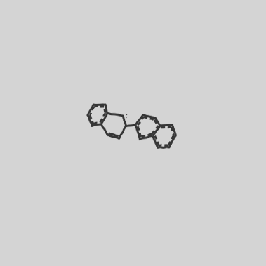 [C]1c2ccccc2C=CC1c1ccc2ccccc2c1